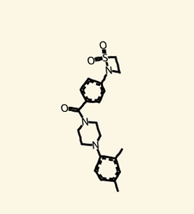 Cc1ccc(N2CCN(C(=O)c3ccc(N4CCS4(=O)=O)cc3)CC2)c(C)c1